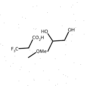 CC(O)CO.COC.O=C(O)CC(F)(F)F